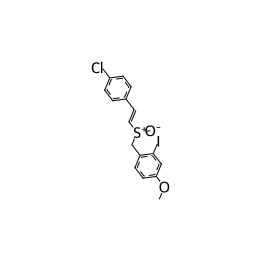 COc1ccc(C[S+]([O-])C=Cc2ccc(Cl)cc2)c(I)c1